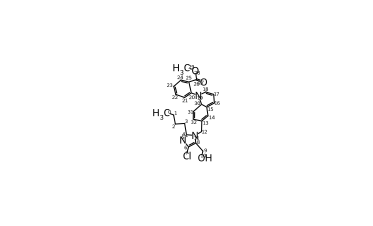 CCCCc1nc(Cl)c(CO)n1CC1=CC2=CC=CN(c3ccccc3C(=O)OC)C2C=C1